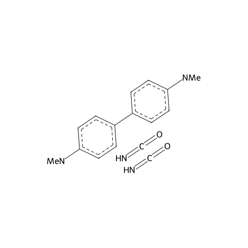 CNc1ccc(-c2ccc(NC)cc2)cc1.N=C=O.N=C=O